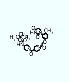 Cc1ccc(OCC(=O)N2CCC(C(=O)N3CCC(NC(=O)OC(C)(C)C)CC3)CC2)cc1N1CCC(=O)NC1=O